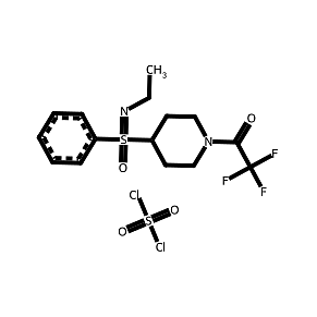 CCN=S(=O)(c1ccccc1)C1CCN(C(=O)C(F)(F)F)CC1.O=S(=O)(Cl)Cl